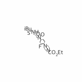 CCOC(=O)N1CCN(c2ccc(N3CC(CNC(=S)[C@@H](C)CC)OC3=O)cc2F)CC1